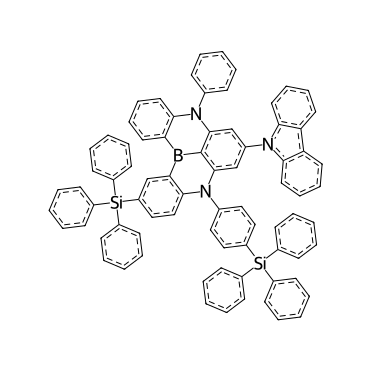 c1ccc(N2c3ccccc3B3c4cc([Si](c5ccccc5)(c5ccccc5)c5ccccc5)ccc4N(c4ccc([Si](c5ccccc5)(c5ccccc5)c5ccccc5)cc4)c4cc(-n5c6ccccc6c6ccccc65)cc2c43)cc1